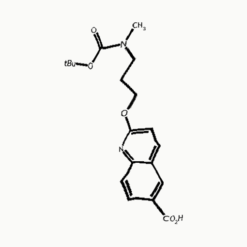 CN(CCCOc1ccc2cc(C(=O)O)ccc2n1)C(=O)OC(C)(C)C